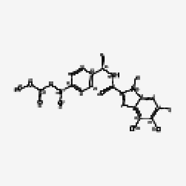 Cc1cc2c(cc(C(=O)N[C@H](C)c3ccc([S+]([O-])CC(=O)OC(C)C)cc3)n2C)c(Cl)c1Cl